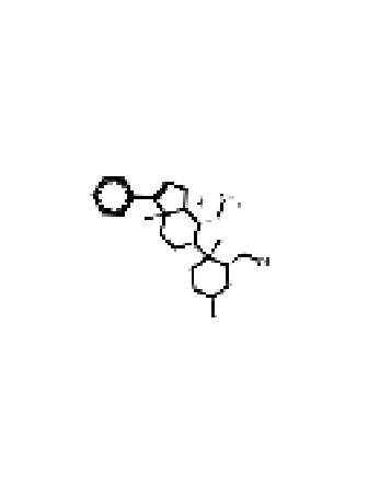 C[C@H]1CC[C@](C)([C@H]2CC[C@]3(C)C(c4ccccc4)=CC[C@H]3[C@@H]2CN)[C@@H](CO)C1